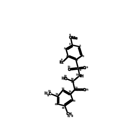 CCc1cc(OC)ccc1S(=O)(=O)NN(O)C(=O)c1cc(C)cc(C)c1